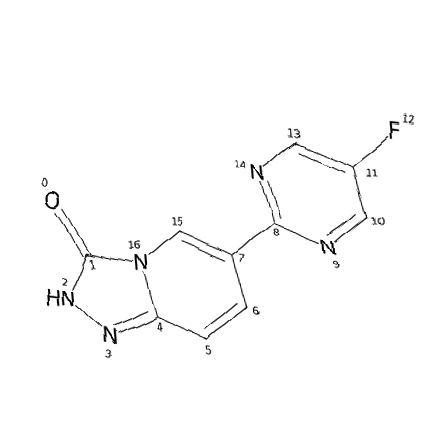 O=c1[nH]nc2ccc(-c3ncc(F)cn3)cn12